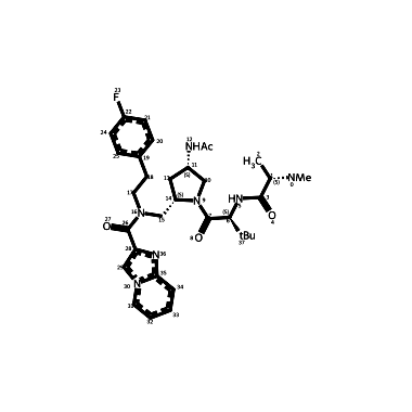 CN[C@@H](C)C(=O)N[C@H](C(=O)N1C[C@@H](NC(C)=O)C[C@H]1CN(CCc1ccc(F)cc1)C(=O)c1cn2ccccc2n1)C(C)(C)C